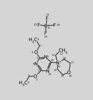 CCOc1nc(OCC)nc([N+]2(CC)CCOCC2)n1.F[B-](F)(F)F